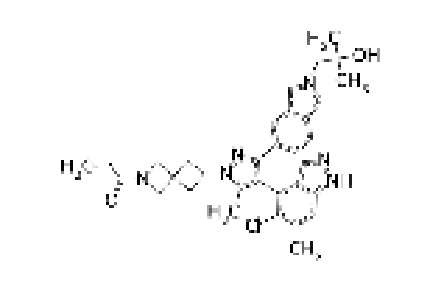 C=CC(=O)N1CC2(CC(n3nc(-c4ccc5cn(CC(C)(C)O)cc5c4)c(-c4c(Cl)c(C)cc5[nH]ncc45)c3C)C2)C1